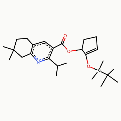 CC(C)c1nc2c(cc1C(=O)OC1CCC=C1O[Si](C)(C)C(C)(C)C)CCC(C)(C)C2